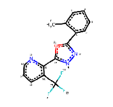 Cc1ccccc1-c1nnc(-c2ncccc2C(F)(F)F)o1